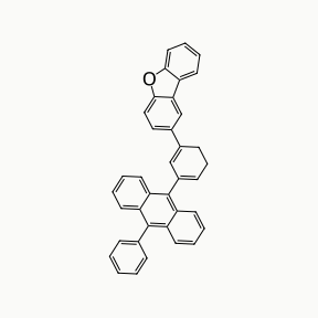 C1=C(c2ccc3oc4ccccc4c3c2)CCC=C1c1c2ccccc2c(-c2ccccc2)c2ccccc12